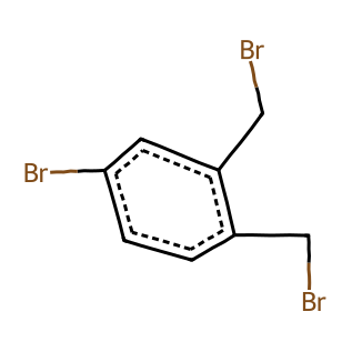 BrCc1ccc(Br)cc1CBr